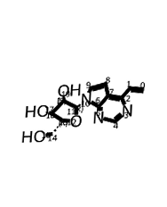 C=Cc1ncnc2c1ccn2[C@@H]1O[C@H](CO)C(O)[C@@H]1O